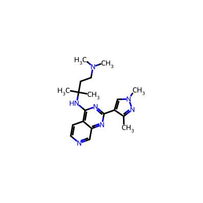 Cc1nn(C)cc1-c1nc(NC(C)(C)CCN(C)C)c2ccncc2n1